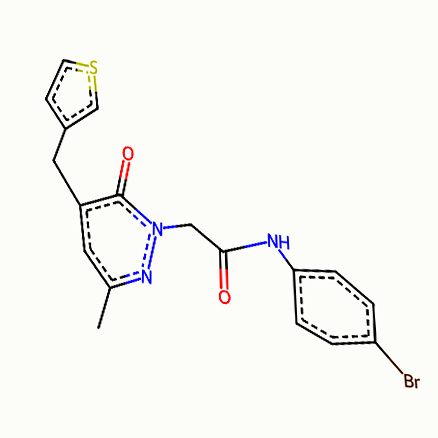 Cc1cc(Cc2ccsc2)c(=O)n(CC(=O)Nc2ccc(Br)cc2)n1